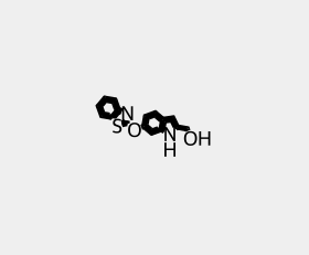 OCc1cc2ccc(Oc3nc4ccccc4s3)cc2[nH]1